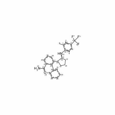 Cc1nc(C(F)(F)F)cnc1N[C@H]1CCCC1c1cccc(C(N)=O)c1-c1ncccn1